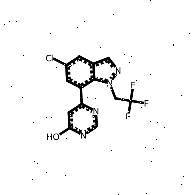 Oc1cc(-c2cc(Cl)cc3cnn(CC(F)(F)F)c23)ncn1